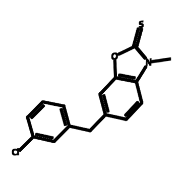 Cn1c(=S)oc2cc(Cc3cccc(Cl)c3)ccc21